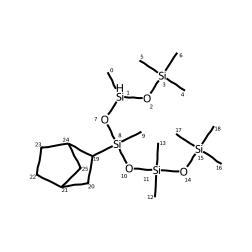 C[SiH](O[Si](C)(C)C)O[Si](C)(O[Si](C)(C)O[Si](C)(C)C)C1CC2CCC1C2